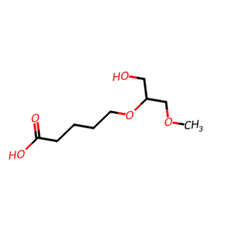 COCC(CO)OCCCCC(=O)O